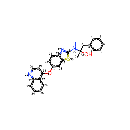 C[C@](O)(Cc1ccccc1)Nc1nc2ccc(Oc3ccnc4ccccc34)cc2s1